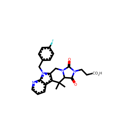 CC1(C)c2c(n(Cc3ccc(F)cc3)c3ncccc23)CN2C(=O)N(CCC(=O)O)C(=O)C21